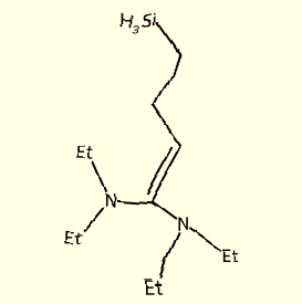 CCN(CC)C(=CCC[SiH3])N(CC)CC